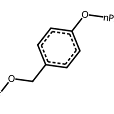 CCCOc1ccc(COF)cc1